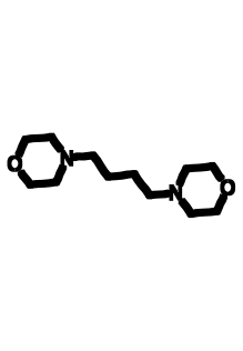 C(CCN1CCOCC1)CN1CCOCC1